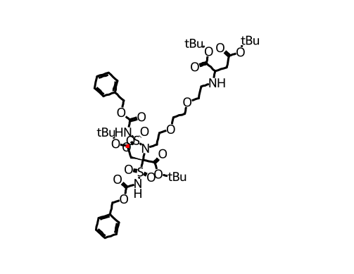 CC(C)(C)OC(=O)CC(NCCOCCOCCN([C@](CC(=O)OC(C)(C)C)(C(=O)OC(C)(C)C)S(=O)(=O)NC(=O)OCc1ccccc1)S(=O)(=O)NC(=O)OCc1ccccc1)C(=O)OC(C)(C)C